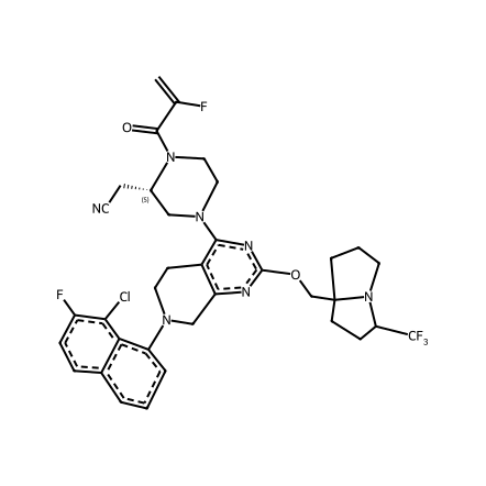 C=C(F)C(=O)N1CCN(c2nc(OCC34CCCN3C(C(F)(F)F)CC4)nc3c2CCN(c2cccc4ccc(F)c(Cl)c24)C3)C[C@@H]1CC#N